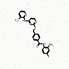 Nc1cc(F)ccc1NC(=O)c1ccc(CSc2nccc(Nc3ncccc3C(F)(F)F)n2)cc1